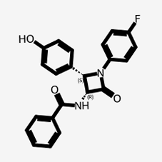 O=C(N[C@H]1C(=O)N(c2ccc(F)cc2)[C@H]1c1ccc(O)cc1)c1ccccc1